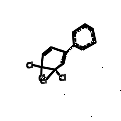 ClC1(Cl)C=CC(c2ccccc2)=CC1(Cl)Cl